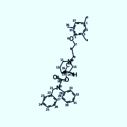 Cc1cc(C)c(OCCC[N+]23CCC(CC2)[C@@H](OC(=O)N(Cc2ccccc2)c2ccccc2)C3)c(C)c1